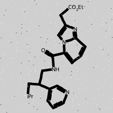 CCOC(=O)Cc1cn2c(C(=O)NCC(CC(C)C)c3cccnc3)cccc2n1